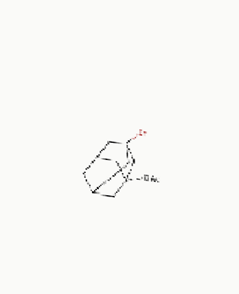 CC(=O)OC12CC3CC(CC(Br)(C3)C1)C2